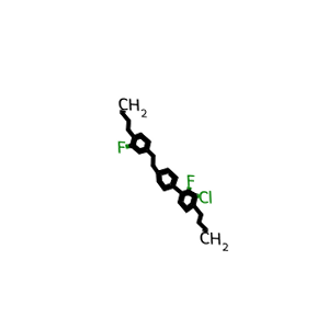 C=CCCc1ccc(CCc2ccc(-c3ccc(CCC=C)c(Cl)c3F)cc2)cc1F